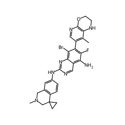 Cc1c(-c2c(F)c(N)c3cnc(Nc4ccc5c(c4)CN(C)CC54CC4)nc3c2Br)cnc2c1NCCO2